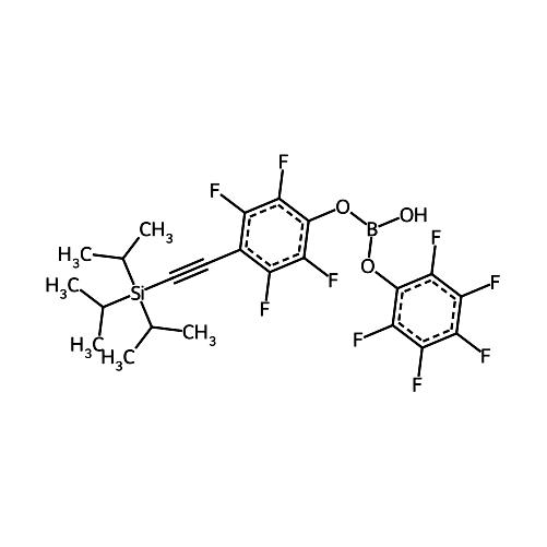 CC(C)[Si](C#Cc1c(F)c(F)c(OB(O)Oc2c(F)c(F)c(F)c(F)c2F)c(F)c1F)(C(C)C)C(C)C